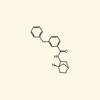 O=C(NC1CN2CC[C@H]1C2)c1cccc(Cc2ccccc2)c1